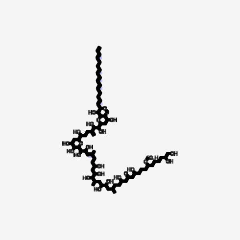 C=C/C=C/CC/C=C/C=C/C=C/CC/C=C/C1OOC2C(O)CC(C(O)C(O)C(=C)CCC(O)C3CC(O)C(O)C(C(O)C(O)/C=C(\C)CCC(O)CC(O)C(O)C(C)CC(O)C(O)CC(C)CCC(O)CC(=O)CC(O)CCCC(CCCCC(O)CO)OS(=O)(=O)O)O3)OC2C1O